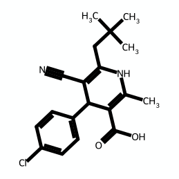 CC1=C(C(=O)O)C(c2ccc(Cl)cc2)C(C#N)=C(CC(C)(C)C)N1